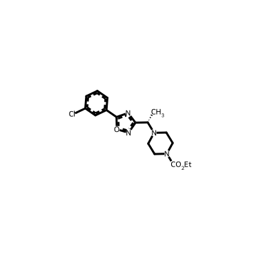 CCOC(=O)N1CCN([C@@H](C)c2noc(-c3cccc(Cl)c3)n2)CC1